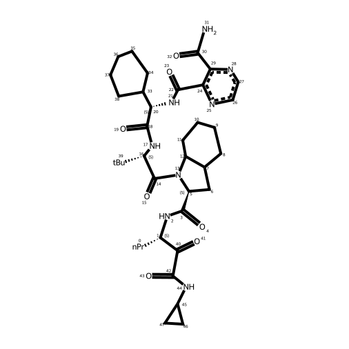 CCC[C@H](NC(=O)[C@@H]1CC2CCCCC2N1C(=O)[C@@H](NC(=O)[C@@H](NC(=O)c1nccnc1C(N)=O)C1CCCCC1)C(C)(C)C)C(=O)C(=O)NC1CC1